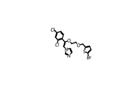 Clc1ccc(C(=Cn2ccnc2)OCCOCc2ccc(Br)s2)c(Cl)c1